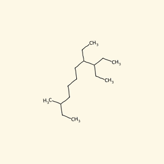 CCC(C)CCCCC(CC)C(CC)CC